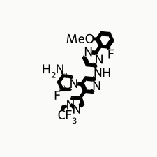 COc1cccc(F)c1-c1nccc(Nc2cc(N3C[C@@H](N)C[C@H](F)C3)c(-c3cnn(CC(F)(F)F)c3)cn2)n1